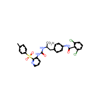 Cc1ccc(S(=O)(=O)c2ncccc2NC(=O)NC(Cc2ccc(NC(=O)c3c(Cl)cccc3Cl)cc2)C(=O)O)cc1